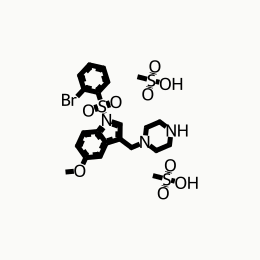 COc1ccc2c(c1)c(CN1CCNCC1)cn2S(=O)(=O)c1ccccc1Br.CS(=O)(=O)O.CS(=O)(=O)O